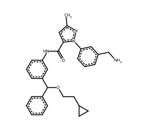 Cc1cc(C(=O)Nc2cccc(C(OCCC3CC3)c3ccccc3)c2)n(-c2cccc(CN)c2)n1